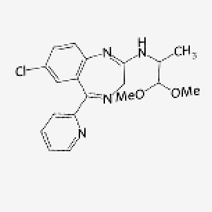 COC(OC)C(C)NC1=Nc2ccc(Cl)cc2C(c2ccccn2)=NC1